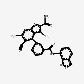 N#Cc1c(N)nc2sc(C(N)=O)c(N)c2c1-c1cccc(C(=O)Nc2cccc3cn[nH]c23)c1